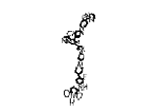 CCC1(c2ncccn2)CCN(c2ccc(-c3nc(-c4cnn(C5CCC(N6CCC(c7ccc(NC8CCC(=O)NC8=O)cc7F)CC6)CC5)c4)cn4ncc(C#N)c34)cn2)CC1